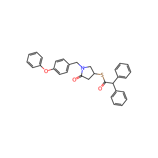 O=C(SC1CC(=O)N(Cc2ccc(Oc3ccccc3)cc2)C1)C(c1ccccc1)c1ccccc1